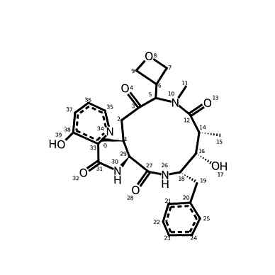 C[C@H]1CC(=O)C(C2COC2)N(C)C(=O)[C@H](C)[C@H](O)[C@H](Cc2ccccc2)NC(=O)[C@H]1NC(=O)c1ncccc1O